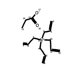 C=CC[N+](CC=C)(CC=C)CC=C.CCC(=O)[O-]